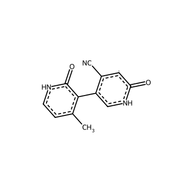 Cc1cc[nH]c(=O)c1-c1c[nH]c(=O)[c]c1C#N